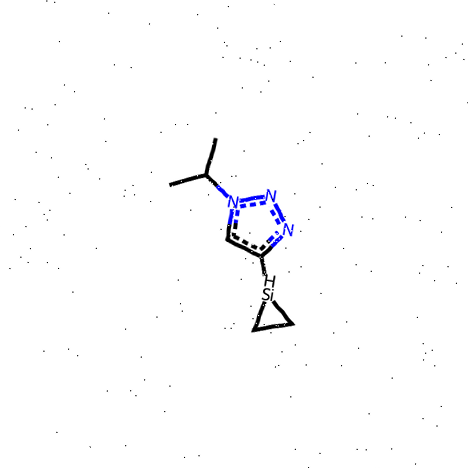 CC(C)n1cc([SiH]2CC2)nn1